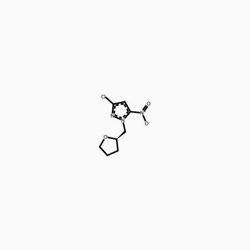 O=[N+]([O-])c1cc(Cl)nn1C[C@H]1CCCO1